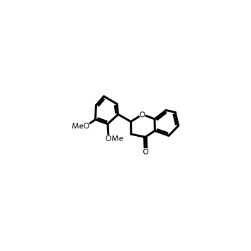 COc1cccc(C2CC(=O)c3ccccc3O2)c1OC